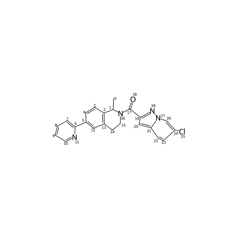 CC1c2ccc(-c3ccccn3)cc2CCN1C(=O)c1cc2ccc(Cl)cn2n1